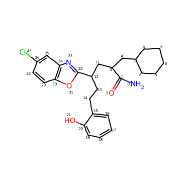 NC(=O)C(CC1CCCCC1)CC(CCc1ccccc1O)c1nc2cc(Cl)ccc2o1